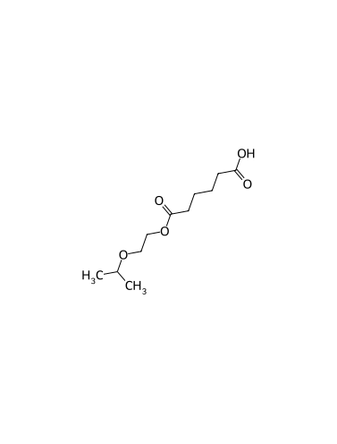 CC(C)OCCOC(=O)CCCCC(=O)O